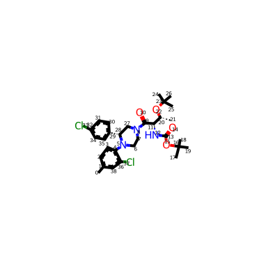 Cc1ccc(N2CCN(C(=O)[C@@H](NC(=O)OC(C)(C)C)[C@@H](C)OC(C)(C)C)C[C@H]2c2ccc(Cl)cc2)c(Cl)c1